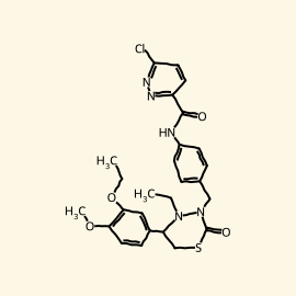 CCOc1cc(C2CSC(=O)N(Cc3ccc(NC(=O)c4ccc(Cl)nn4)cc3)N2CC)ccc1OC